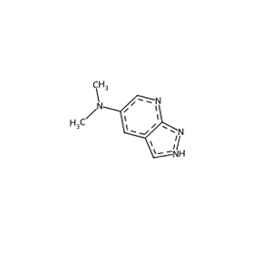 CN(C)c1cnc2n[nH]cc2c1